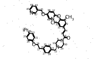 Cc1cc(/C=C/C(=O)N2CCN(Cc3ccc(CCOc4ccc(C(C)C)cc4)cc3)CC2)cc(Cl)c1Oc1ccc(OCc2cccnc2)cn1